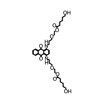 O=C(CCCCCO)OCCOCCCNc1ccc(NCCCOCCOC(=O)CCCCCO)c2c1C(=O)c1ccccc1C2=O